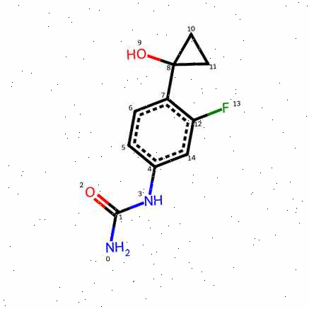 NC(=O)Nc1ccc(C2(O)CC2)c(F)c1